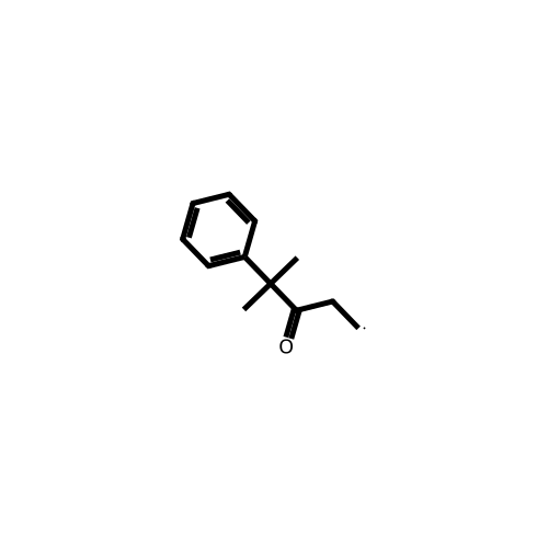 [CH2]CC(=O)C(C)(C)c1ccccc1